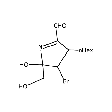 CCCCCCC1C(C=O)=NC(O)(CO)C1Br